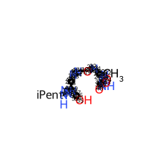 CCC[C@H](C)Nc1ncc2c(-c3ccc(CN4CCN(CCCO[C@H]5CCN(Cc6ccc7c(c6)n(C)c(=O)n7C6CCC(=O)NC6=O)C5)CC4)cc3)cn([C@H]3CC[C@H](O)CC3)c2n1